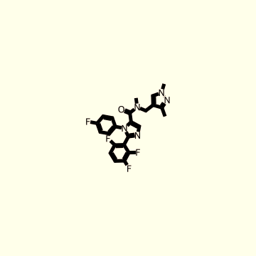 Cc1nn(C)cc1CN(C)C(=O)c1cnc(-c2c(F)ccc(F)c2F)n1-c1ccc(F)cc1